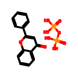 O=P(O)(O)OP(=O)(O)O.O=c1cc(-c2ccccc2)oc2ccccc12